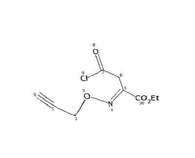 C#CCON=C(CC(=O)Cl)C(=O)OCC